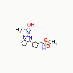 C[C@H]1[C@H](O)CN1c1nc2c(c(-c3cccc(CNS(C)(=O)=O)c3)n1)CCC2